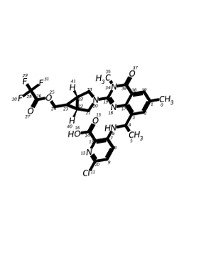 Cc1cc(C(C)Nc2ccc(Cl)nc2C(=O)O)c2nc(N3C[C@@H]4C(COC(=O)C(F)(F)F)[C@@H]4C3)n(C)c(=O)c2c1